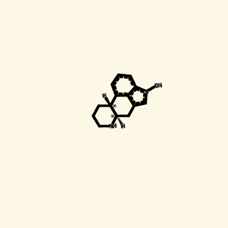 On1cc2c3c(cccc31)[C@H]1CCCN[C@@H]1C2